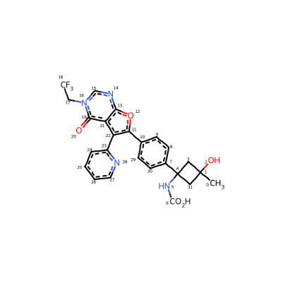 CC1(O)CC(NC(=O)O)(c2ccc(-c3oc4ncn(CC(F)(F)F)c(=O)c4c3-c3ccccn3)cc2)C1